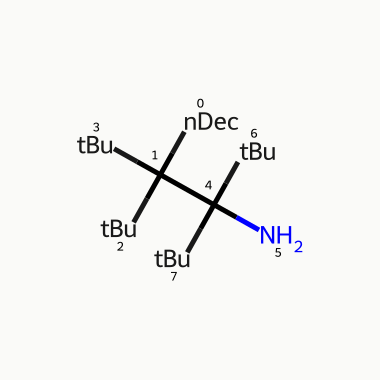 CCCCCCCCCCC(C(C)(C)C)(C(C)(C)C)C(N)(C(C)(C)C)C(C)(C)C